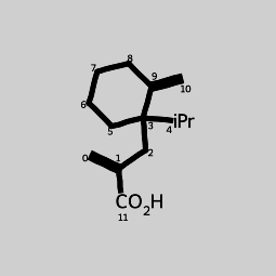 C=C(CC1(C(C)C)CCCCC1=C)C(=O)O